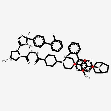 CC(C)(C)[C@H](NC(=O)C1CCC(N2CCC(c3cnc(N4C5CCC4CN(c4cc(-c6ccccc6O)nnc4N)C5)nc3)CC2)CC1)C(=O)N1C[C@H](O)C[C@H]1C1=NO[C@@](C)(c2ccc(-c3ccccc3F)cc2)N1